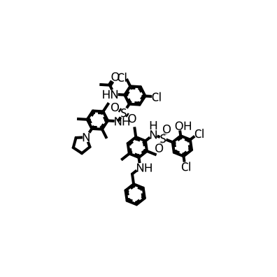 CC(=O)Nc1c(Cl)cc(Cl)cc1S(=O)(=O)Nc1c(C)cc(C)c(N2CCCC2)c1C.Cc1cc(C)c(NS(=O)(=O)c2cc(Cl)cc(Cl)c2O)c(C)c1NCc1ccccc1